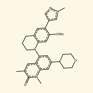 COc1cc2c(cc1-c1cnn(C)c1)CCCN2c1cc(C2CCOCC2)cc2c1cc(C)c(=O)n2C